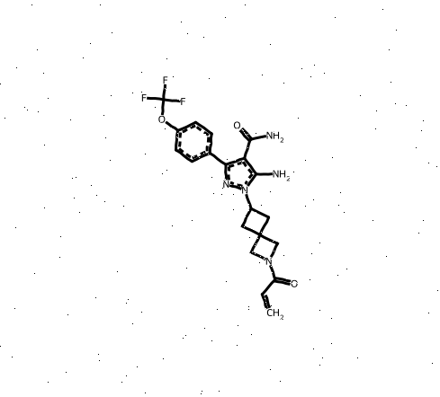 C=CC(=O)N1CC2(CC(n3nc(-c4ccc(OC(F)(F)F)cc4)c(C(N)=O)c3N)C2)C1